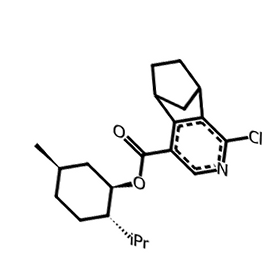 CC(C)[C@@H]1CC[C@@H](C)C[C@H]1OC(=O)c1cnc(Cl)c2c1C1CCC2C1